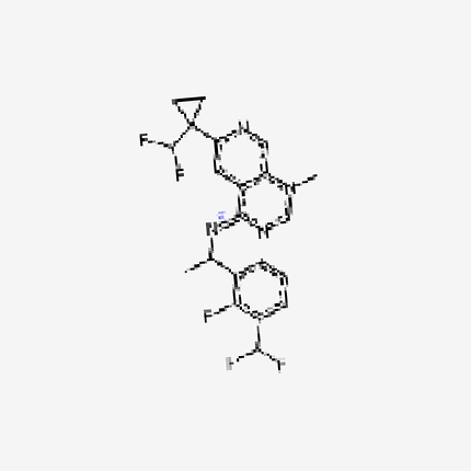 CC(/N=c1\ncn(C)c2cnc(C3(C(F)F)CC3)cc12)c1cccc(C(F)F)c1F